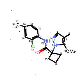 COc1c(C)cnn1C1(C(=O)Nc2ccc(C(F)(F)F)cc2Cl)CCC1